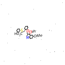 COc1ccc2ncc(COc3ccccc3CC(Sc3ccccc3)C(=O)O)c(OC(C)C)c2c1